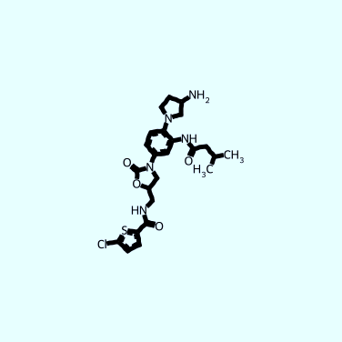 CC(C)CC(=O)Nc1cc(N2CC(CNC(=O)c3ccc(Cl)s3)OC2=O)ccc1N1CCC(N)C1